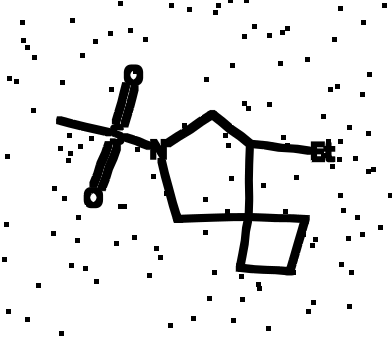 CCC1CN(S(C)(=O)=O)CC12CCC2